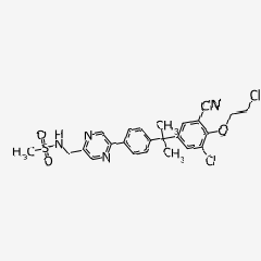 CC(C)(c1ccc(-c2cnc(CNS(C)(=O)=O)cn2)cc1)c1cc(Cl)c(OCCCl)c(C#N)c1